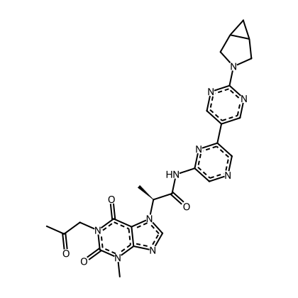 CC(=O)Cn1c(=O)c2c(ncn2[C@@H](C)C(=O)Nc2cncc(-c3cnc(N4CC5CC5C4)nc3)n2)n(C)c1=O